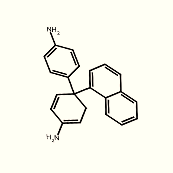 NC1=CCC(c2ccc(N)cc2)(c2cccc3ccccc23)C=C1